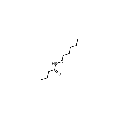 CCCCCOBC(=O)CCC